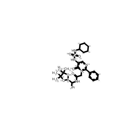 CC(C)C(NC(=O)Cn1c(-c2ccccc2)ncc(NS(=O)(=O)NC2CCCCC2)c1=O)B1OC(C)(C)C(C)(C)O1